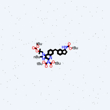 CCCCc1nc2c(N(C(=O)OC(C)(C)C)C(=O)OC(C)(C)C)nc3cc(Cc4ccc5c(c4)C(NC(=O)OC(C)(C)C)CC5)ccc3c2n1CC(C)(C)OC(=O)OC(C)(C)C